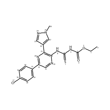 CCOC(=O)NC(=S)Nc1ncc(-c2ccc(Cl)cc2)nc1-c1cnn(C)c1